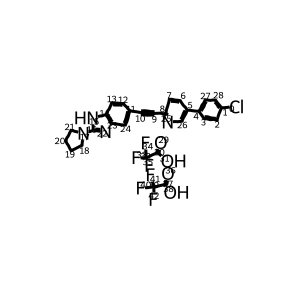 Clc1ccc(-c2ccc(C#Cc3ccc4[nH]c(N5CCCC5)nc4c3)nc2)cc1.O=C(O)C(F)(F)F.O=C(O)C(F)(F)F